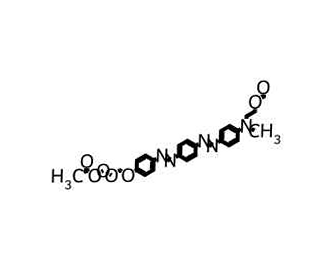 CC(=O)OOOCOc1ccc(N=Nc2ccc(N=Nc3ccc(N(C)CCOC=O)cc3)cc2)cc1